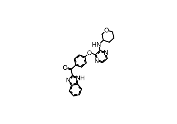 O=C(c1ccc(Oc2nccnc2NC2CCCOC2)cc1)c1nc2ccccc2[nH]1